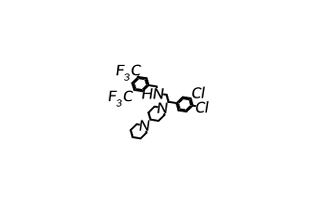 FC(F)(F)c1cc(CNCC(c2ccc(Cl)c(Cl)c2)N2CCC(N3CCCCC3)CC2)cc(C(F)(F)F)c1